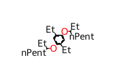 CCCCCC(CC)Oc1cc(CC)c(OC(CC)CCCCC)cc1CC